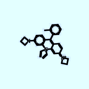 C=C[Si]1(C=C)C2=CC(=[N+]3CCC3)C=CC2=C(c2ccccc2C)c2ccc(N3CCC3)cc21